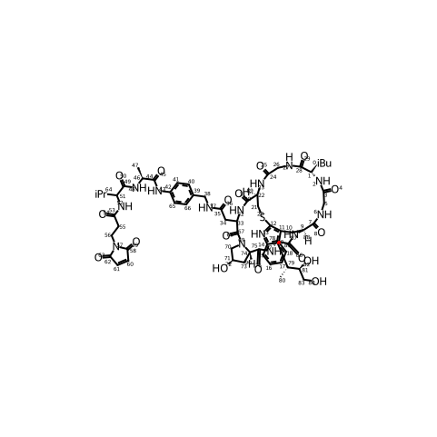 CC[C@H](C)[C@@H]1NC(=O)CNC(=O)[C@@H]2Cc3c([nH]c4ccccc34)SC[C@H](NC(=O)CNC1=O)C(=O)NC(CC(=O)NCc1ccc(NC(=O)[C@H](C)NC(=O)C(NC(=O)CCN3C(=O)C=CC3=O)C(C)C)cc1)C(=O)N1C[C@H](O)C[C@H]1C(=O)N[C@@H]([C@@H](C)[C@@H](O)CO)C(=O)N2